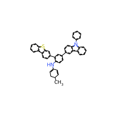 CC1C=CC(Nc2ccc(-c3ccc4c(c3)c3ccccc3n4-c3ccccc3)cc2-c2ccc3c(c2)sc2ccccc23)=CC1